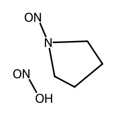 O=NN1CCCC1.O=NO